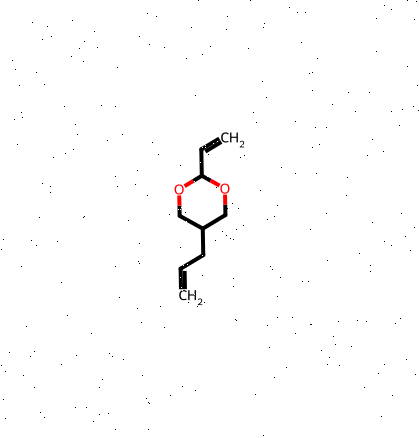 C=CCC1COC(C=C)OC1